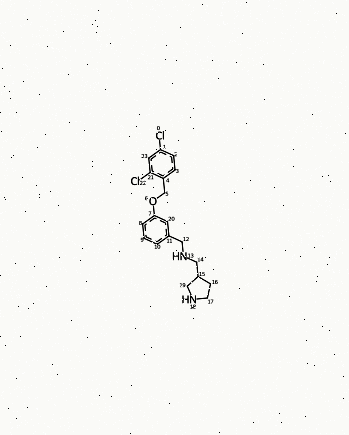 Clc1ccc(COc2cccc(CNCC3CCNC3)c2)c(Cl)c1